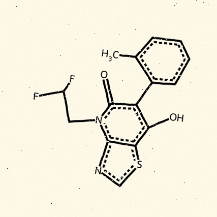 Cc1ccccc1-c1c(O)c2scnc2n(CC(F)F)c1=O